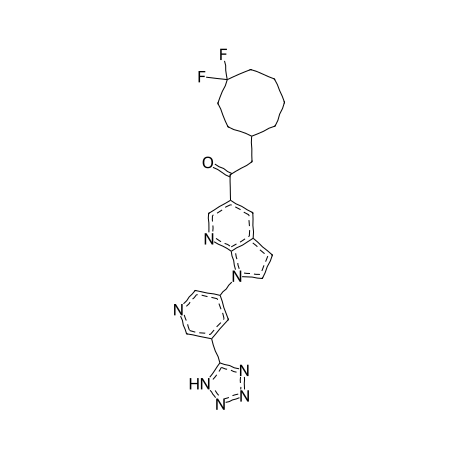 O=C(CC1CCCCC(F)(F)CC1)c1cnc2c(ccn2-c2cncc(-c3nnn[nH]3)c2)c1